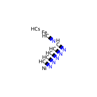 C#N.C#N.C#N.C#N.C#N.C#N.[CsH].[Fe].[Ni]